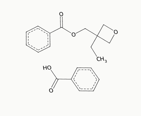 CCC1(COC(=O)c2ccccc2)COC1.O=C(O)c1ccccc1